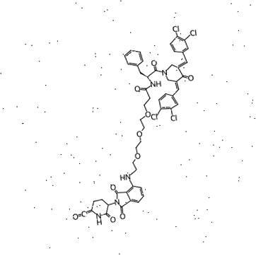 O=C=C1CCC(N2C(=O)c3cccc(NCCOCCOCCOCCC(=O)N[C@@H](Cc4ccccc4)C(=O)N4C/C(=C\c5ccc(Cl)c(Cl)c5)C(=O)/C(=C/c5ccc(Cl)c(Cl)c5)C4)c3C2=O)C(=O)N1